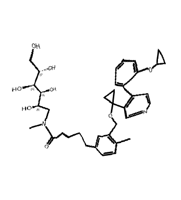 Cc1ccc(CCCCC(=O)N(C)C[C@@H](O)[C@H](O)[C@@H](O)[C@@H](O)CO)cc1COC1(c2cnccc2-c2ccccc2OC2CC2)CC1